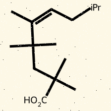 C/C(=C/CC(C)C)C(C)(C)CC(C)(C)C(=O)O